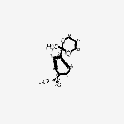 CC1(c2ccc([N+](=O)[O-])cc2)OCCCO1